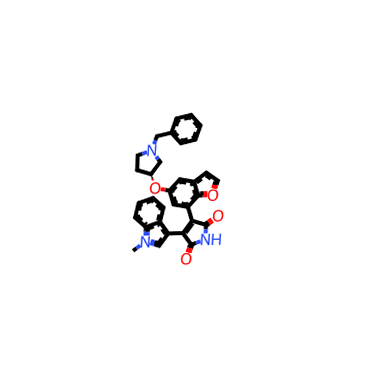 Cn1cc(C2=C(c3cc(O[C@@H]4CCN(Cc5ccccc5)C4)cc4ccoc34)C(=O)NC2=O)c2ccccc21